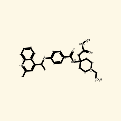 Cc1cc(C(C)Oc2ccc(C(=O)NC3(CC(=O)NO)CCN(CC(=O)O)CC3)cc2)c2ccccc2n1